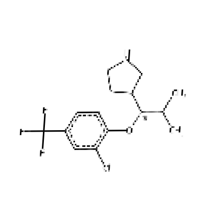 CC(C)[C@H](Oc1ccc(C(F)(F)F)cc1Cl)C1CCNC1